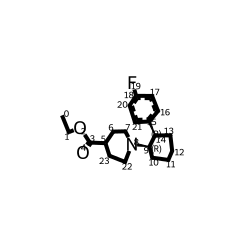 CCOC(=O)C1CCN([C@@H]2CCCC[C@@H]2c2ccc(F)cc2)CC1